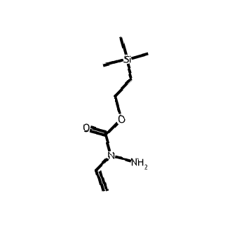 C=CN(N)C(=O)OCC[Si](C)(C)C